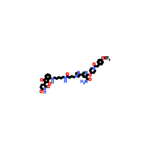 NC(=O)c1cc(-c2cn(CCCC(=O)NCCCCCNc3cccc4c3C(=O)C(C3CCC(=O)NC3=O)C4=O)cn2)cnc1OC1CCN(C(=O)Cc2ccc(OC(F)(F)F)cc2)CC1